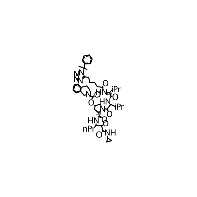 CCCC(NC(=O)[C@@H]1CC(OC(=O)N2CCc3ccccc3C2)CN1C(=O)C(NC(=O)[C@@H](NC(=O)CCCCc1nnnn1C(C)(C)c1ccccc1)C(C)C)C(C)C)C(=O)C(=O)NC1CC1